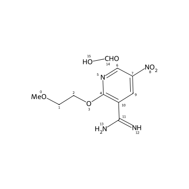 COCCOc1ncc([N+](=O)[O-])cc1C(=N)N.O=CO